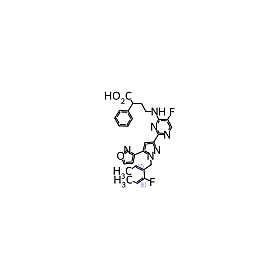 C/C=C(Cn1nc(-c2ncc(F)c(NCCC(C(=O)O)c3ccccc3)n2)cc1-c1ccon1)\C(F)=C/C